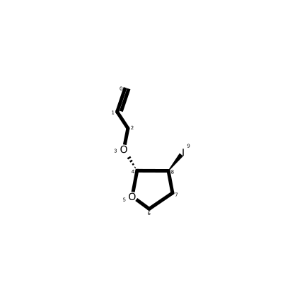 C=CCO[C@H]1OCC[C@@H]1I